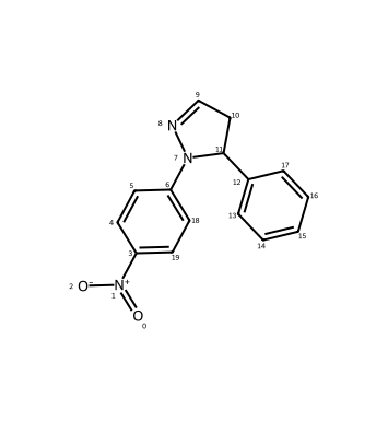 O=[N+]([O-])c1ccc(N2N=CCC2c2ccccc2)cc1